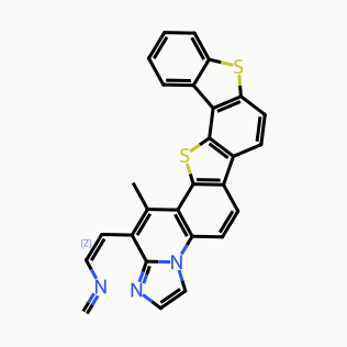 C=N/C=C\c1c(C)c2c3sc4c(ccc5sc6ccccc6c54)c3ccc2n2ccnc12